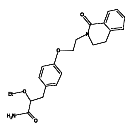 CCOC(Cc1ccc(OCCN2CCc3ccccc3C2=O)cc1)C(N)=O